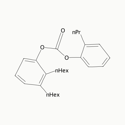 CCCCCCc1cccc(OC(=O)Oc2ccccc2CCC)c1CCCCCC